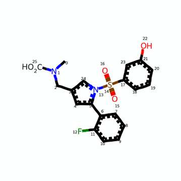 CN(Cc1cc(-c2ccccc2F)n(S(=O)(=O)c2cccc(O)c2)c1)C(=O)O